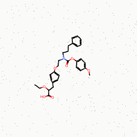 CCOC(Cc1ccc(OCCN(CCCc2ccccc2)C(=O)Oc2ccc(OC)cc2)cc1)C(=O)O